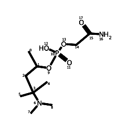 CC(CC(C)(C)N(C)C)OP(=O)(O)OCC(N)=O